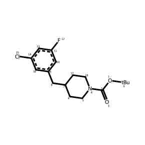 CC(C)(C)OC(=O)N1CCC(Cc2cc(F)cc(Cl)c2)CC1